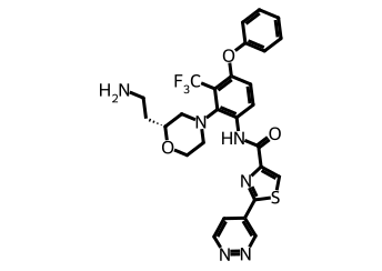 NCC[C@@H]1CN(c2c(NC(=O)c3csc(-c4ccnnc4)n3)ccc(Oc3ccccc3)c2C(F)(F)F)CCO1